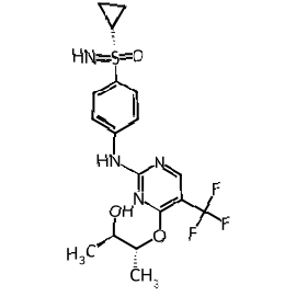 C[C@@H](O)[C@@H](C)Oc1nc(Nc2ccc([S@@](=N)(=O)C3CC3)cc2)ncc1C(F)(F)F